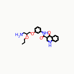 CCCOC(CN)COc1cccc(NC(=O)c2c[nH]c3ccccc3c2=O)c1